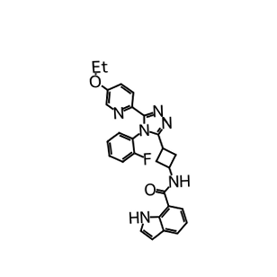 CCOc1ccc(-c2nnc(C3CC(NC(=O)c4cccc5cc[nH]c45)C3)n2-c2ccccc2F)nc1